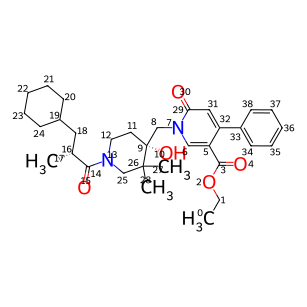 CCOC(=O)c1cn(C[C@]2(O)CCN(C(=O)[C@H](C)CC3CCCCC3)CC2(C)C)c(=O)cc1-c1ccccc1